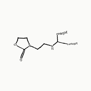 CCCCCCCC(CCCCCCC)NCCN1CCOC1=O